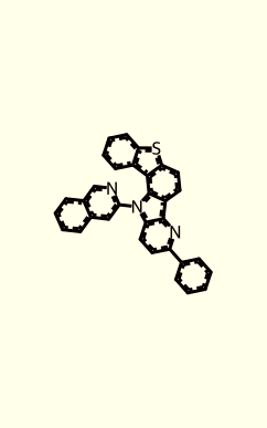 c1ccc(-c2ccc3c(n2)c2ccc4sc5ccccc5c4c2n3-c2cc3ccccc3cn2)cc1